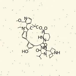 CCn1c(-c2cccnc2[C@H](C)OC)c2c3cc(ccc31)-c1cc(O)cc(c1)C[C@H](NC(=O)[C@H](C(C)C)N(C)C(=O)C1CCNC13CCC3)C(=O)N1CCC[C@H](N1)C(=O)OCC(C)(C)C2